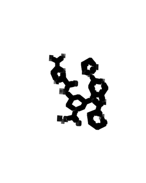 CC(=O)N1CC(NC(=O)c2ncc(C(F)F)s2)CC(n2c(-c3ccccn3)nc3cnc(-n4nccn4)cc32)C1